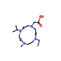 CCN1CCN(C)CCN(C(C)C)CCN(CC(=O)O)CC1